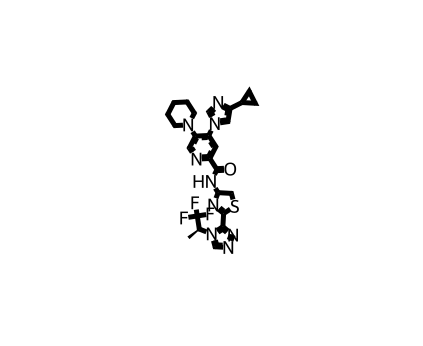 C[C@H](n1cnnc1C1=NC(NC(=O)c2cc(-n3cnc(C4CC4)c3)c(N3CCCCC3)cn2)CS1)C(F)(F)F